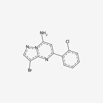 Nc1cc(-c2ccccc2Cl)nc2c(Br)cnn12